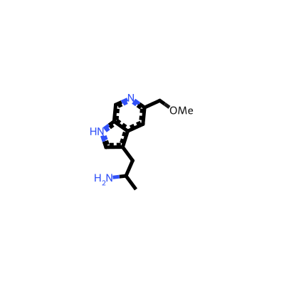 COCc1cc2c(CC(C)N)c[nH]c2cn1